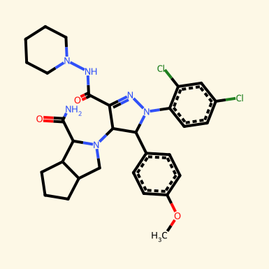 COc1ccc(C2C(N3CC4CCCC4C3C(N)=O)C(C(=O)NN3CCCCC3)=NN2c2ccc(Cl)cc2Cl)cc1